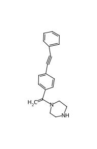 C=C(c1ccc(C#Cc2ccccc2)cc1)N1CCNCC1